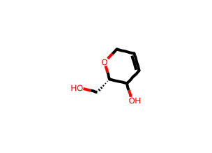 OC[C@@H]1OCC=CC1O